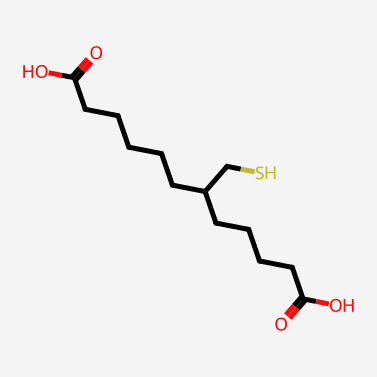 O=C(O)CCCCCC(CS)CCCCC(=O)O